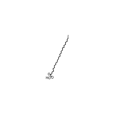 O=C(O)C(=O)CCCCCCCCCCCCCCCCCCCCCCCCCI